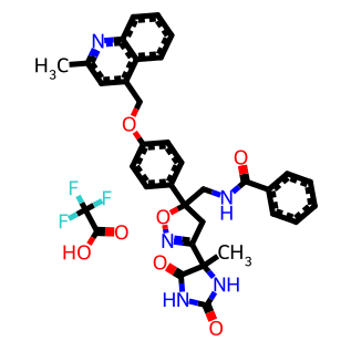 Cc1cc(COc2ccc(C3(CNC(=O)c4ccccc4)CC(C4(C)NC(=O)NC4=O)=NO3)cc2)c2ccccc2n1.O=C(O)C(F)(F)F